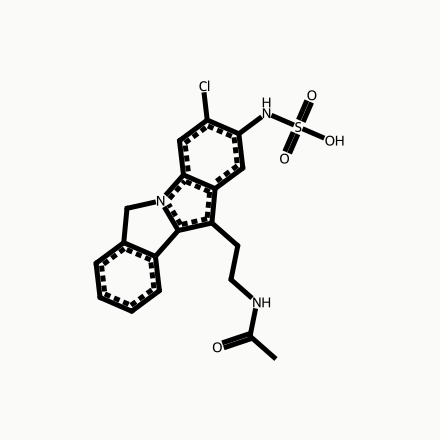 CC(=O)NCCc1c2n(c3cc(Cl)c(NS(=O)(=O)O)cc13)Cc1ccccc1-2